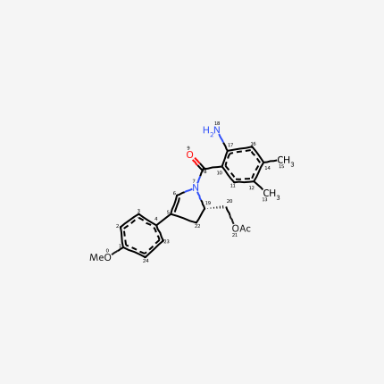 COc1ccc(C2=CN(C(=O)c3cc(C)c(C)cc3N)[C@H](COC(C)=O)C2)cc1